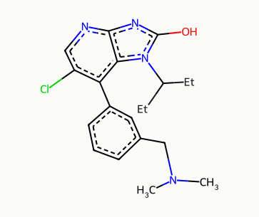 CCC(CC)n1c(O)nc2ncc(Cl)c(-c3cccc(CN(C)C)c3)c21